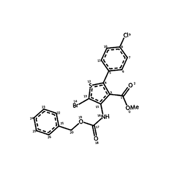 COC(=O)c1c(-c2ccc(Cl)cc2)sc(Br)c1NC(=O)OCc1ccccc1